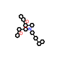 c1ccc(N(c2ccc(-c3ccc(-c4cccc5ccccc45)cc3)cc2)c2ccc(-c3cccc4c3oc3ccccc34)cc2)c(-c2cccc3c2oc2cc4ccccc4cc23)c1